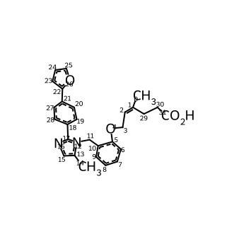 CC(=CCOc1ccccc1Cn1c(C)cnc1-c1ccc(-c2ccco2)cc1)CCC(=O)O